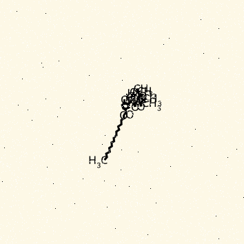 CCCCCCCCCCCCCCCCOC(=O)c1ccc(Cl)c(NC(=O)C(C(=O)C(C)(C)C)N2C(=O)OC(C)(C)C2=O)c1